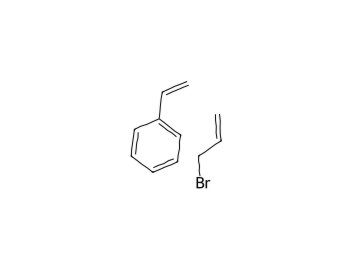 C=CCBr.C=Cc1ccccc1